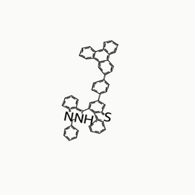 c1ccc(C2N=c3ccccc3=C(c3cc(-c4ccc(-c5ccc6c7ccccc7c7ccccc7c6c5)cc4)cc4sc5ccccc5c34)N2)cc1